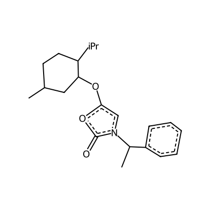 CC1CCC(C(C)C)C(Oc2cn(C(C)c3ccccc3)c(=O)o2)C1